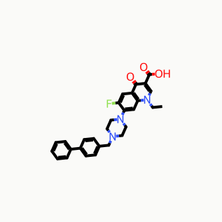 CCn1cc(C(=O)O)c(=O)c2cc(F)c(N3CCN(Cc4ccc(-c5ccccc5)cc4)CC3)cc21